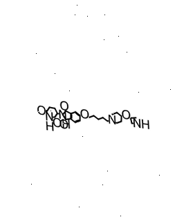 O=C1CCC(N2C(=O)c3ccc(OCCCCCN4CCC(OC5CNC5)CC4)cc3C2=O)C(O)N1